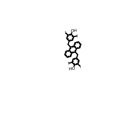 Oc1c(I)cc(Cc2c3ccccc3c(Cc3cc(I)c(O)c(I)c3)c3ccccc23)cc1I